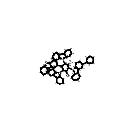 N#Cc1c(-n2c3c(c4ccccc42)CCC=C3)c(-c2ccc3sc4ccccc4c3c2)c(-n2c3ccccc3c3ccccc32)c(C#N)c1-n1c2ccccc2c2cc(-c3ccccc3)ccc21